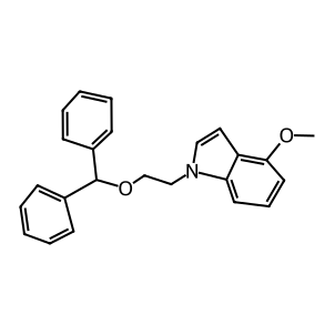 COc1cccc2c1ccn2CCOC(c1ccccc1)c1ccccc1